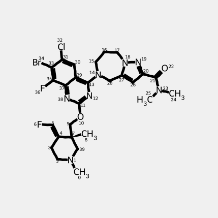 CN1CC/C(=C\F)[C@](C)(COc2nc(N3CCCn4nc(C(=O)N(C)C)cc4C3)c3cc(Cl)c(Br)c(F)c3n2)C1